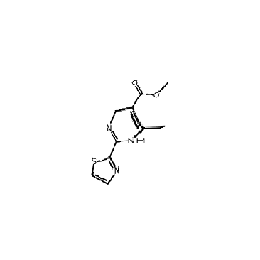 COC(=O)C1=C(C)NC(c2nccs2)=NC1